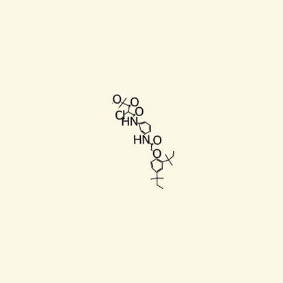 CCC(C)(C)c1ccc(OCC(=O)Nc2cccc(NC(=O)C(Cl)C(=O)C(C)(C)OC)c2)c(C(C)(C)CC)c1